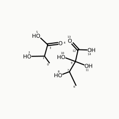 CC(O)C(=O)O.CC(O)C(O)(O)C(=O)O